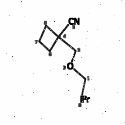 CC(C)COCC1(C#N)CCC1